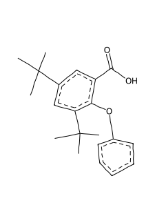 CC(C)(C)c1cc(C(=O)O)c(Oc2ccccc2)c(C(C)(C)C)c1